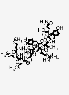 CSCC[C@H](NC(=O)[C@H](CCSC)NC(=O)[C@@H](N)CCSC)C(=O)N[C@@H](CO)C(=O)N[C@@H](C)C(=O)N[C@@H](CCCNC(=N)N)C(=O)N[C@@H](Cc1ccc(O)cc1)C(=O)N[C@H](C(=O)N[C@@H](Cc1ccc(O)cc1)C(=O)N[C@@H](CCC(N)=O)C(=O)O)[C@@H](C)O